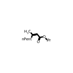 CCCCC/C(C)=C\C(=O)OC(C)C